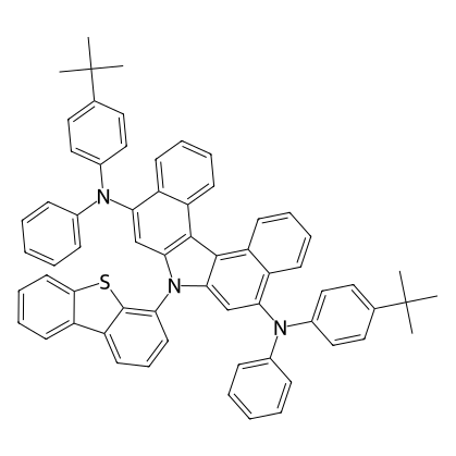 CC(C)(C)c1ccc(N(c2ccccc2)c2cc3c(c4ccccc24)c2c4ccccc4c(N(c4ccccc4)c4ccc(C(C)(C)C)cc4)cc2n3-c2cccc3c2sc2ccccc23)cc1